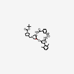 Cc1cccc(C)c1-c1cc2nc(n1)NS(=O)(=O)c1cccc(c1)C(=O)NCC1(CCN(CC3CCN(C(=O)OC(C)(C)C)C3)CC1)CO2